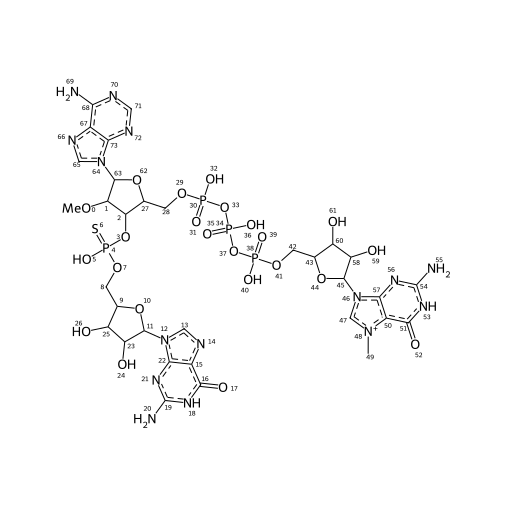 COC1C(OP(O)(=S)OCC2OC(n3cnc4c(=O)[nH]c(N)nc43)C(O)C2O)C(COP(=O)(O)OP(=O)(O)OP(=O)(O)OCC2OC(n3c[n+](C)c4c(=O)[nH]c(N)nc43)C(O)C2O)OC1n1cnc2c(N)ncnc21